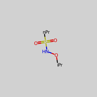 CCCS(=O)(=O)NOC(C)C